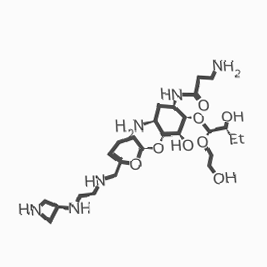 CC[C@@H](O)[C@H](OCCO)O[C@@H]1[C@@H](O)[C@H](O[C@@H]2CCC=C(CNCCNC3CNC3)O2)[C@@H](N)C[C@H]1NC(=O)CCN